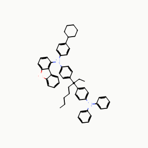 CCCCCC(CC)(c1ccc(N(c2ccccc2)c2ccccc2)cc1)c1ccc(N(c2ccc(C3CCCCC3)cc2)c2cccc3oc4ccccc4c23)cc1